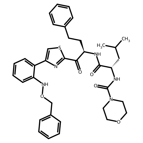 CC(C)C[C@H](NC(=O)N1CCOCC1)C(=O)N[C@H](CCc1ccccc1)C(=O)c1nc(-c2ccccc2NOCc2ccccc2)cs1